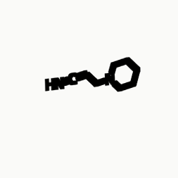 N=C=CCN1CCCCC1